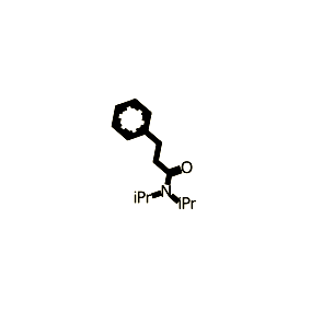 CC(C)N(C(=O)CCc1ccccc1)C(C)C